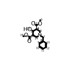 COC(=O)[C@H]1CN(Cc2ccccc2)C[C@@H](C(=O)OC)C1O